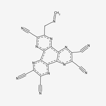 C=NCc1nc2c3nc(C#N)c(C#N)nc3c3nc(C#N)c(C#N)nc3c2nc1C#N